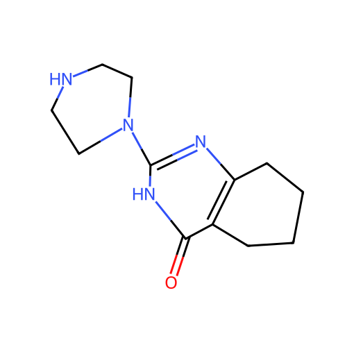 O=c1[nH]c(N2CCNCC2)nc2c1CCCC2